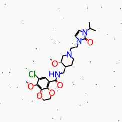 COc1c(Cl)cc(C(=O)NC[C@@H]2CCN(CCn3ccn(C(C)C)c3=O)C[C@H]2OC)c2c1OCCO2